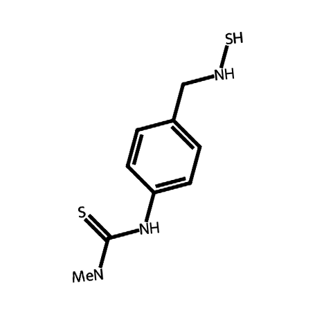 CNC(=S)Nc1ccc(CNS)cc1